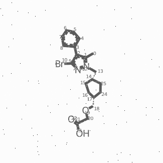 Cc1c(-c2ccccc2)c(Br)nn1C[C@H]1CC[C@@H](COCC(=O)O)CC1